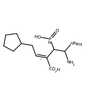 CCCCCC(N)C(/C(=C\CC1CCCC1)C(=O)O)[PH](=O)O